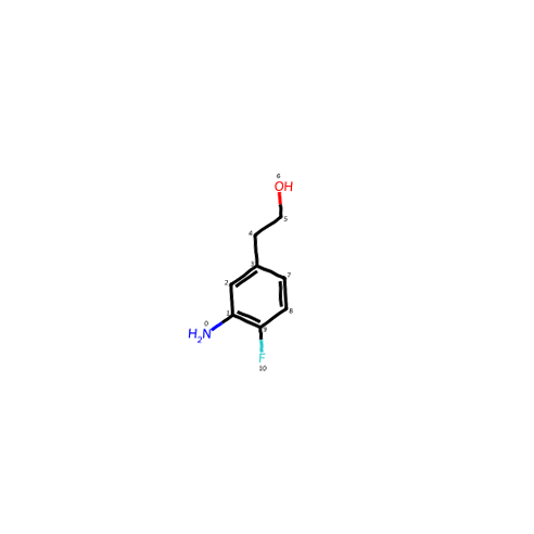 Nc1cc(CCO)ccc1F